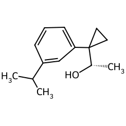 CC(C)c1cccc(C2([C@H](C)O)CC2)c1